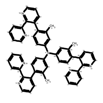 Cc1cc(N(c2ccc(-c3cccnc3-c3ccccn3)c(C)c2)c2ccc(-c3cccnc3-c3ccccn3)c(C)c2)ccc1-c1cccnc1-c1ccccn1